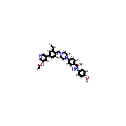 CCOc1cncc(-c2ccc(CN3CCN(c4ccc(C(=O)Nc5ccc(OC)cc5)cc4)CC3)c(CC)c2)c1